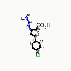 CN(C)C=Nc1cc(-c2ccc(Cl)cc2)sc1C(=O)O